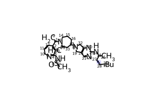 C=C(C1=CC(N[S+](C)[O-])=NCC=C1)N1CCC[C@H](N2Cc3cnc(NC(C)/C=C\C(C)CC)nc3C2)C[C@H]1C